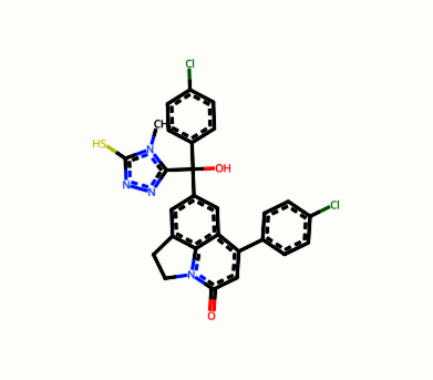 Cn1c(S)nnc1C(O)(c1ccc(Cl)cc1)c1cc2c3c(c1)c(-c1ccc(Cl)cc1)cc(=O)n3CC2